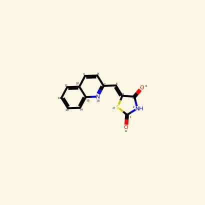 O=C1NC(=O)C(=Cc2ccc3ccccc3n2)S1